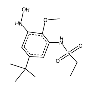 CCS(=O)(=O)Nc1cc(C(C)(C)C)cc(NO)c1OC